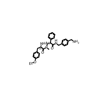 CCOc1ccc(C[C@@H](NC(C)=O)C(=O)N(C)C[C@H](C(=O)NCc2ccc(CN)cc2)c2ccccc2)cc1